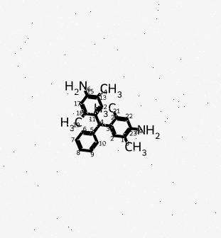 Cc1cc(C(c2ccccc2)c2cc(C)c(N)cc2C)c(C)cc1N